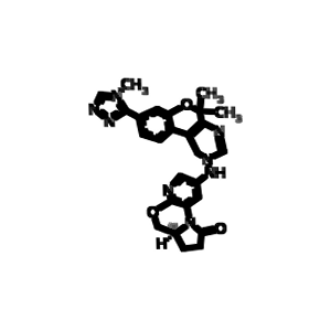 Cn1cnnc1-c1ccc2c(c1)OC(C)(C)C1=C2CN(Nc2cnc3c(c2)N2C(=O)CC[C@H]2CO3)C=N1